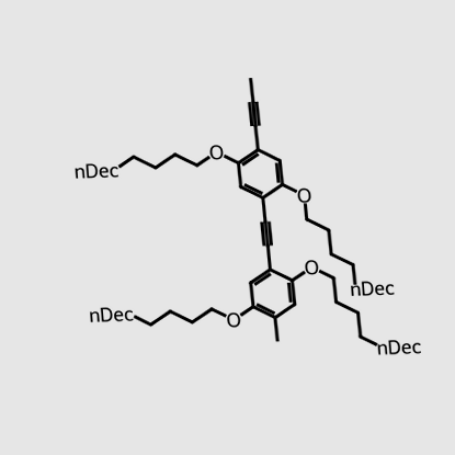 CC#Cc1cc(OCCCCCCCCCCCCCC)c(C#Cc2cc(OCCCCCCCCCCCCCC)c(C)cc2OCCCCCCCCCCCCCC)cc1OCCCCCCCCCCCCCC